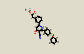 COC(=O)Cc1cccc(-c2cc(=O)c(C#N)c(-c3ccc(Oc4ccccc4)cc3)[nH]2)c1